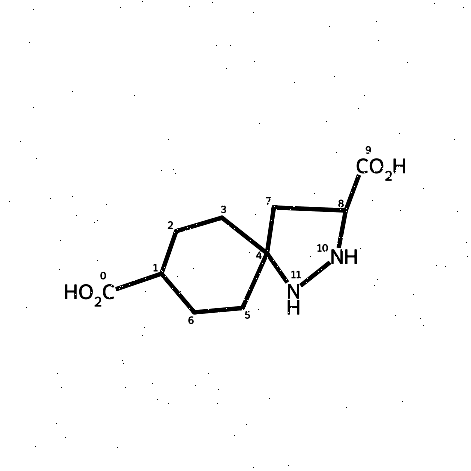 O=C(O)C1CCC2(CC1)CC(C(=O)O)NN2